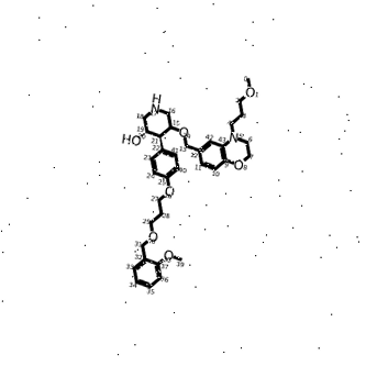 COCCCN1CCOc2ccc(COC3CNC[C@@H](O)[C@@H]3c3ccc(OCCCOCc4ccccc4OC)cc3)cc21